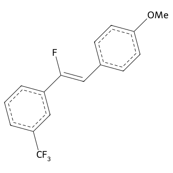 COc1ccc(C=C(F)c2cccc(C(F)(F)F)c2)cc1